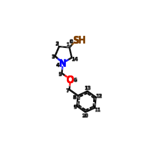 SC1CCN(COCc2ccccc2)C1